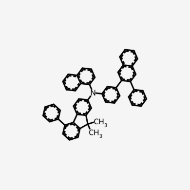 CC1(C)c2cc(N(c3cccc(-c4cc5ccccc5cc4-c4ccccc4)c3)c3cccc4ccccc34)ccc2-c2c(-c3ccccc3)cccc21